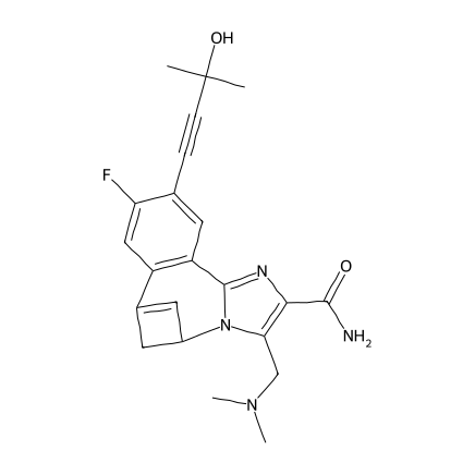 CN(C)Cc1c(C(N)=O)nc2n1C1C=C(C1)c1cc(F)c(C#CC(C)(C)O)cc1-2